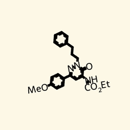 CCOC(=O)Nc1cc(-c2ccc(OC)cc2)nn(CCCc2ccccc2)c1=O